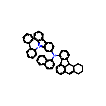 C1=C2CCCCC2C2c3cccc(N(c4ccc5c6ccccc6n(-c6ccccc6-c6ccccc6)c5c4)c4cccc5ccccc45)c3-c3cccc1c32